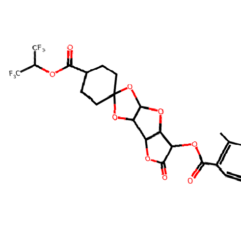 CC(C)=CC(C(=O)OC1C(=O)OC2C3OC4(CCC(C(=O)OC(C(F)(F)F)C(F)(F)F)CC4)OC3OC12)=C(C)C